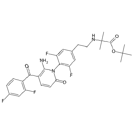 CC(C)(C)OC(=O)C(C)(C)NCCc1cc(F)c(-n2c(N)c(C(=O)c3ccc(F)cc3F)ccc2=O)c(F)c1